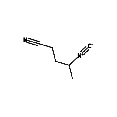 [C-]#[N+]C(C)CCC#N